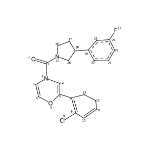 O=C(N1C=COC(C2=C(Cl)C=CCC2)=C1)N1CCC(c2cccc(F)c2)C1